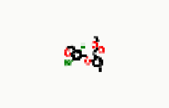 CCOC(=O)Cc1ccc(C)cc1OCc1cc(Br)c2occc2c1F